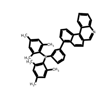 Cc1cc(C)c(B(c2cccc(-c3cccc4c3ccc3cnc5ccccc5c34)c2)c2c(C)cc(C)cc2C)c(C)c1